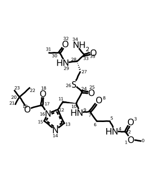 COC(=O)NCCC(=O)N[C@@H](Cc1cncn1C(=O)OC(C)(C)C)C(=O)SC[C@H](NC(C)=O)C(N)=O